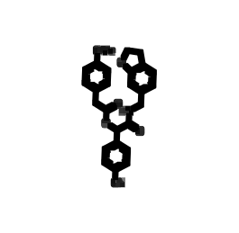 COc1ccc(CC(=O)OC(C(=O)NCc2ccc3c(c2)OCC3)c2ccc(C#N)cc2)cc1